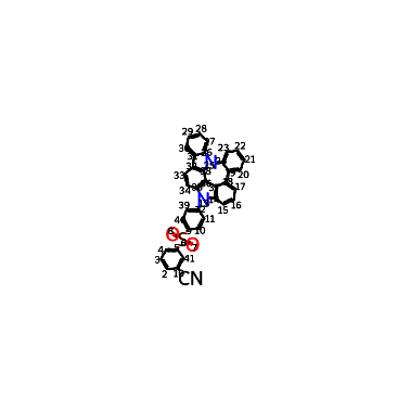 N#Cc1cccc(S(=O)(=O)c2ccc(-n3c4cccc5c6ccccc6n6c7ccccc7c7ccc3c(c54)c76)cc2)c1